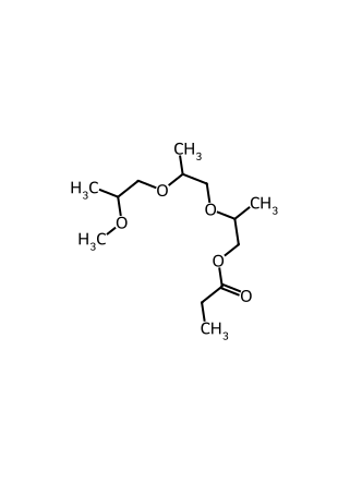 CCC(=O)OCC(C)OCC(C)OCC(C)OC